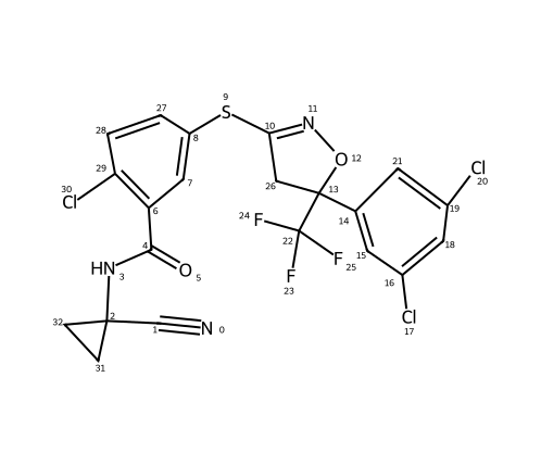 N#CC1(NC(=O)c2cc(SC3=NOC(c4cc(Cl)cc(Cl)c4)(C(F)(F)F)C3)ccc2Cl)CC1